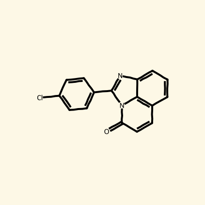 O=c1ccc2cccc3nc(-c4ccc(Cl)cc4)n1c23